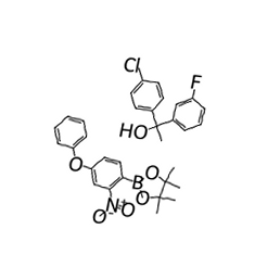 CC(O)(c1ccc(Cl)cc1)c1cccc(F)c1.CC1(C)OB(c2ccc(Oc3ccccc3)cc2[N+](=O)[O-])OC1(C)C